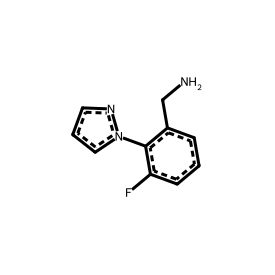 NCc1cccc(F)c1-n1cccn1